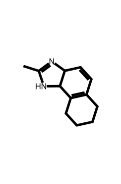 CC1=NC2C=CC3=C(CCCC3)C2N1